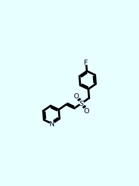 O=S(=O)(C=Cc1cccnc1)Cc1ccc(F)cc1